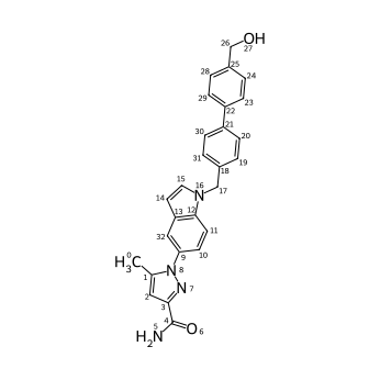 Cc1cc(C(N)=O)nn1-c1ccc2c(ccn2Cc2ccc(-c3ccc(CO)cc3)cc2)c1